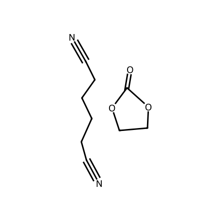 N#CCCCCC#N.O=C1OCCO1